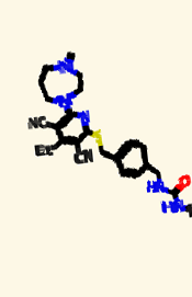 CCNC(=O)NCc1ccc(CSc2nc(N3CCCN(C)CC3)c(C#N)c(CC)c2C#N)cc1